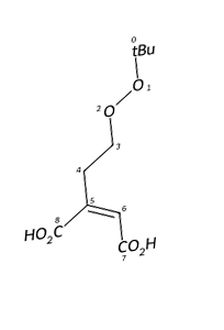 CC(C)(C)OOCCC(=CC(=O)O)C(=O)O